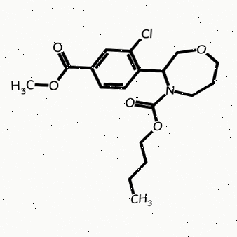 CCCCOC(=O)N1CCCOCC1c1ccc(C(=O)OC)cc1Cl